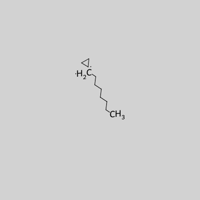 [CH2]CCCCCCC.[CH]1CC1